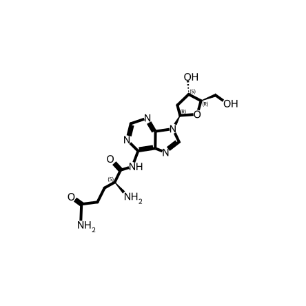 NC(=O)CC[C@H](N)C(=O)Nc1ncnc2c1ncn2[C@H]1C[C@H](O)[C@@H](CO)O1